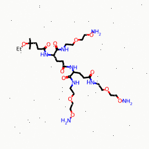 CCOC(C)(C)CCC(=O)NC(CCC(=O)NC(CCC(=O)NCCOCCON)C(=O)NCCOCCON)C(=O)NCCOCCON